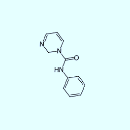 O=C(Nc1ccccc1)N1C=CC=NC1